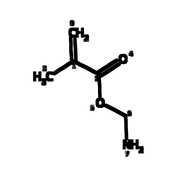 C=C(C)C(=O)OCN